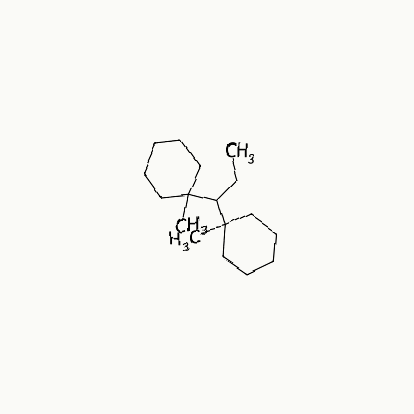 CCC(C1(C)CCCCC1)C1(C)CCCCC1